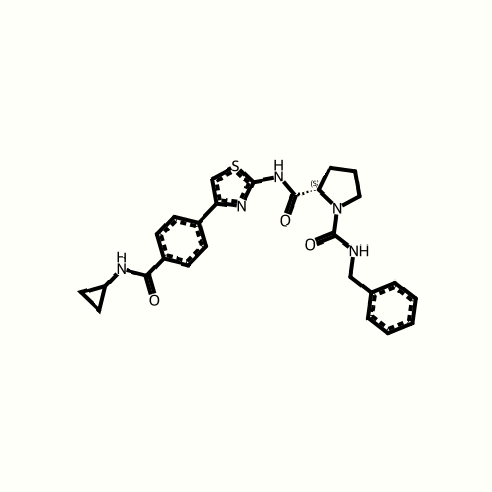 O=C(NC1CC1)c1ccc(-c2csc(NC(=O)[C@@H]3CCCN3C(=O)NCc3ccccc3)n2)cc1